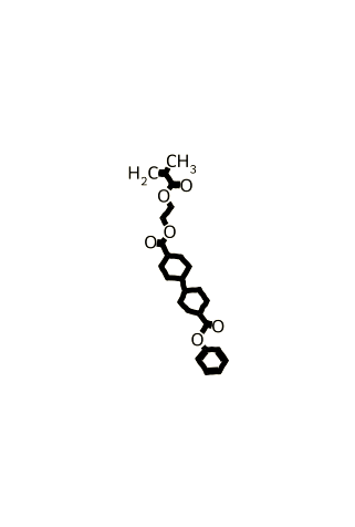 C=C(C)C(=O)OCCOC(=O)C1CCC(C2CCC(C(=O)Oc3ccccc3)CC2)CC1